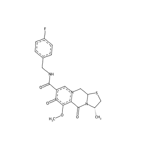 COc1c2n(cc(C(=O)NCc3ccc(F)cc3)c1=O)CC1SC[C@H](C)N1C2=O